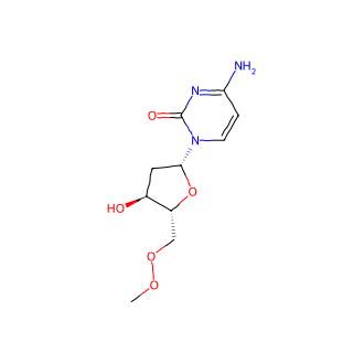 COOC[C@H]1O[C@@H](n2ccc(N)nc2=O)C[C@@H]1O